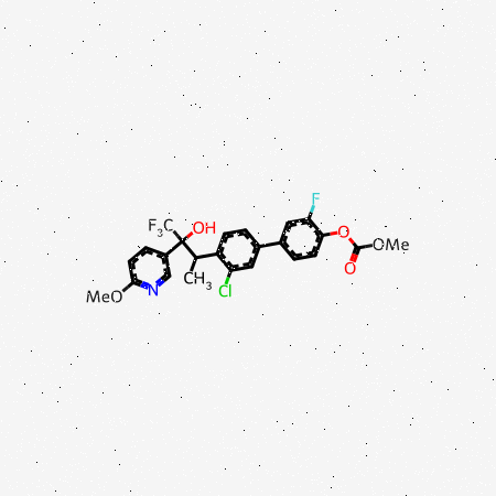 COC(=O)Oc1ccc(-c2ccc(C(C)C(O)(c3ccc(OC)nc3)C(F)(F)F)c(Cl)c2)cc1F